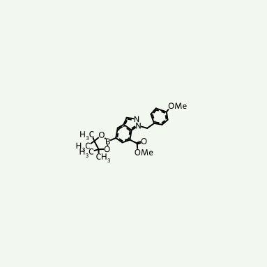 COC(=O)c1cc(B2OC(C)(C)C(C)(C)O2)cc2cnn(Cc3ccc(OC)cc3)c12